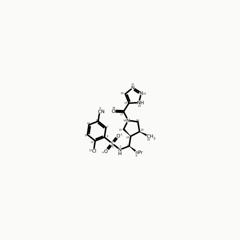 CCC[C@@H](NS(=O)(=O)c1cc(C#N)ccc1Cl)[C@H]1CN(C(=O)c2cnn[nH]2)C[C@H]1C